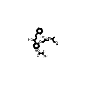 COCC(C)NCC(O)COc1ccccc1C(O)CCc1ccccc1.O=C(O)C(=O)O